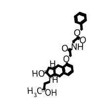 C[C@H](O)CC[C@@H]1[C@H]2Cc3cccc(OCC(=O)NCC(=O)OCc4ccccc4)c3C[C@H]2C[C@H]1O